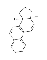 C[C@]12C=Cc3c(ccc4ccccc34)[C@@H]1CCC2